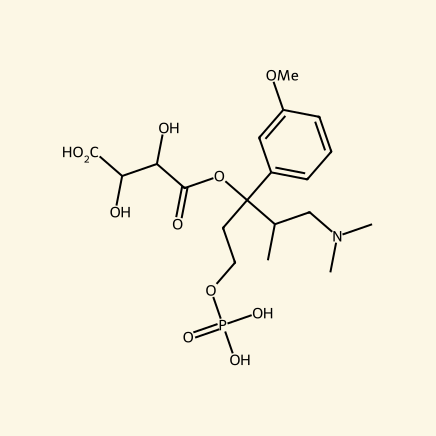 COc1cccc(C(CCOP(=O)(O)O)(OC(=O)C(O)C(O)C(=O)O)C(C)CN(C)C)c1